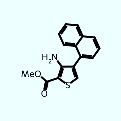 COC(=O)c1scc(-c2cccc3ccccc23)c1N